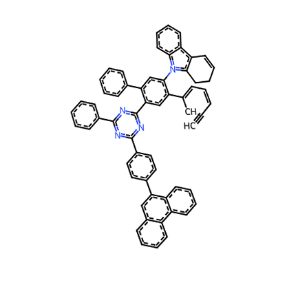 C#C/C=C\C=C(/C)c1cc(-c2nc(-c3ccccc3)nc(-c3ccc(-c4cc5ccccc5c5ccccc45)cc3)n2)c(-c2ccccc2)cc1-n1c2c(c3ccccc31)C=CCC2